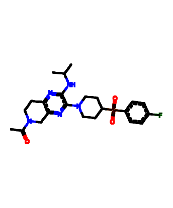 CC(=O)N1CCc2nc(NC(C)C)c(N3CCC(S(=O)(=O)c4ccc(F)cc4)CC3)nc2C1